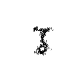 CC(C)[C@H](NC(=O)CCCCCN1C(=O)C=CC1=O)C(=O)NC(CCCNC(N)=O)C(=O)Nc1ccc(COC(=O)NCc2ccc([C@H]3O[C@@H]3[C@@H](C)[C@@H]3C/C=C/C(=O)NCC(=O)N[C@@H](C)C(C)(C)C(=O)N[C@@H](CC(C)(C)C)C(=O)O3)cc2)cc1